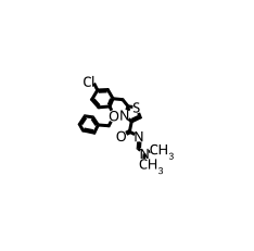 CN(C)C=NC(=O)c1csc(Cc2cc(Cl)ccc2OCc2ccccc2)n1